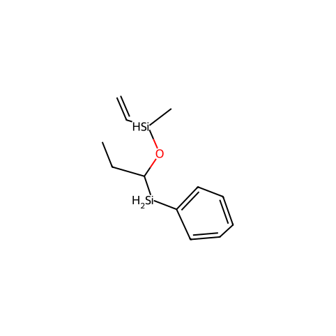 C=C[SiH](C)OC(CC)[SiH2]c1ccccc1